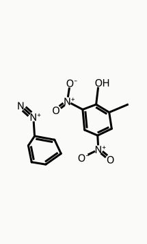 Cc1cc([N+](=O)[O-])cc([N+](=O)[O-])c1O.N#[N+]c1ccccc1